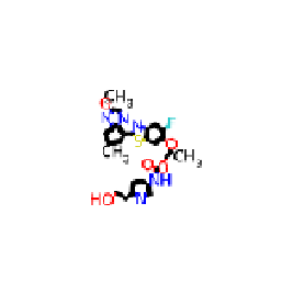 COc1cnc2c(-c3nc4cc(F)c(O[C@@H](C)COC(=O)Nc5ccc(CCO)nc5)cc4s3)cc(C)cc2n1